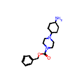 NC1CCC(N2CCN(C(=O)OCc3ccccc3)CC2)CC1